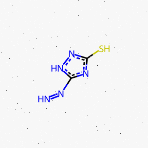 N=Nc1nc(S)n[nH]1